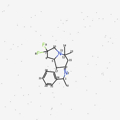 CC(N=C1CC2CC(F)(F)CN2C(C)(C)C1)c1ccccc1